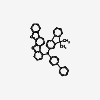 CC1(C)c2ccccc2-c2ccc(N(c3ccc(-c4ccccc4)cc3)c3cccc4oc5c(ccc6c7ccccc7oc65)c34)cc21